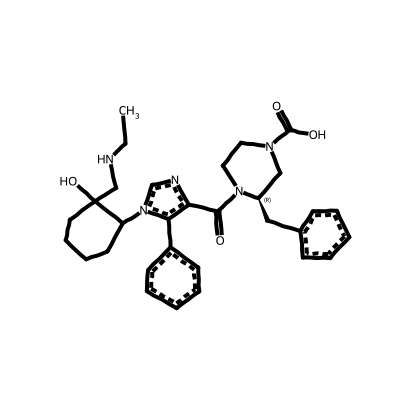 CCNCC1(O)CCCCC1n1cnc(C(=O)N2CCN(C(=O)O)C[C@H]2Cc2ccccc2)c1-c1ccccc1